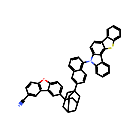 N#Cc1ccc2oc3ccc(C45CC6CC(CC(c7ccc8c(-n9c%10ccccc%10c%10c%11sc%12ccccc%12c%11ccc%109)cccc8c7)(C6)C4)C5)cc3c2c1